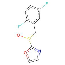 [O-][S+](Cc1cc(F)ccc1F)c1ncco1